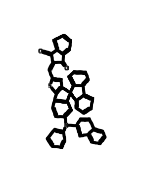 O=C1C(=Cc2cc3c(s2)-c2ccc(N(c4ccccc4)c4ccc5ccccc5c4)cc2C32c3ccccc3-c3ccccc32)C(=O)c2ccccc21